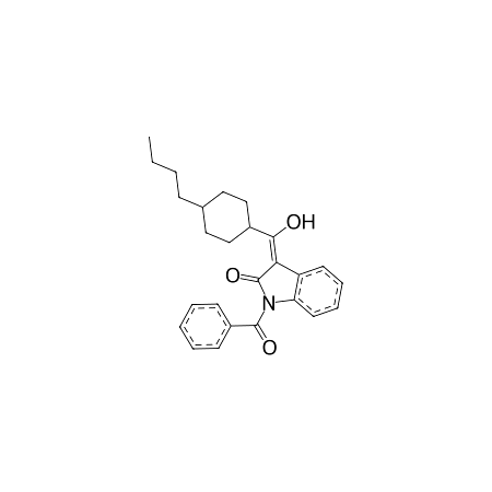 CCCCC1CCC(C(O)=C2C(=O)N(C(=O)c3ccccc3)c3ccccc32)CC1